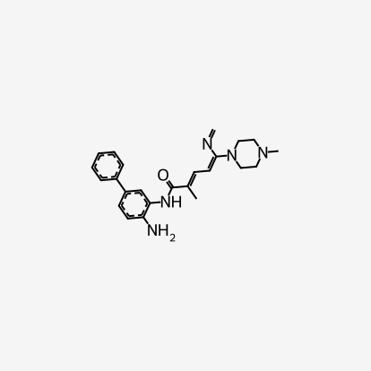 C=N/C(=C\C=C(/C)C(=O)Nc1cc(-c2ccccc2)ccc1N)N1CCN(C)CC1